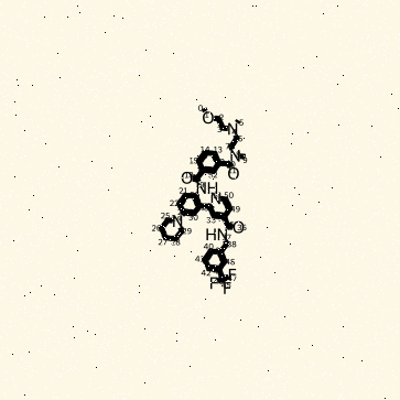 COCCN(C)CCN(C)C(=O)c1cccc(C(=O)Nc2ccc(N3CCCCC3)cc2-c2cc(C(=O)NCc3cccc(C(F)(F)F)c3)ccn2)c1